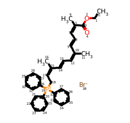 CCOC(=O)C(C)=CC=CC(C)=CC=CC(C)=CC[P+](c1ccccc1)(c1ccccc1)c1ccccc1.[Br-]